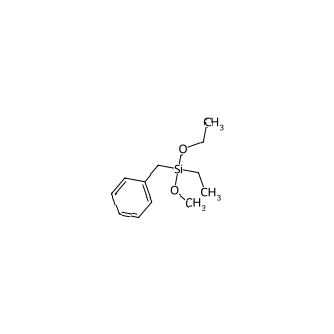 CCO[Si](CC)(Cc1ccccc1)OC